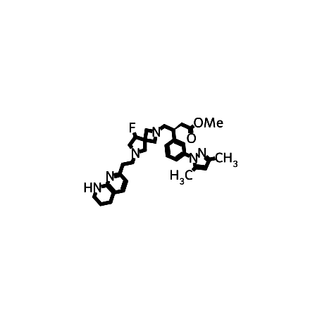 COC(=O)C[C@H](CN1CC2(CN(CCc3ccc4c(n3)NCCC4)CC2F)C1)c1cccc(-n2nc(C)cc2C)c1